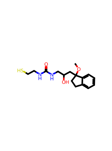 COC1(CC(O)CNC(=O)NCCS)CCc2ccccc21